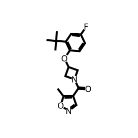 Cc1oncc1C(=O)N1CC(Oc2ccc(F)cc2C(C)(C)C)C1